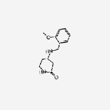 COc1ccccc1CNC1CCNC(=O)C1